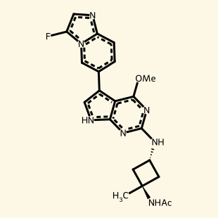 COc1nc(N[C@H]2C[C@](C)(NC(C)=O)C2)nc2[nH]cc(-c3ccc4ncc(F)n4c3)c12